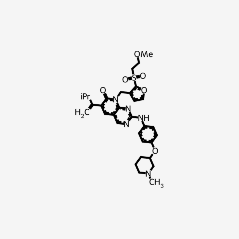 C=C(c1cc2cnc(Nc3ccc(OC4CCCN(C)C4)cc3)nc2n(Cc2ccoc2S(=O)(=O)CCOC)c1=O)C(C)C